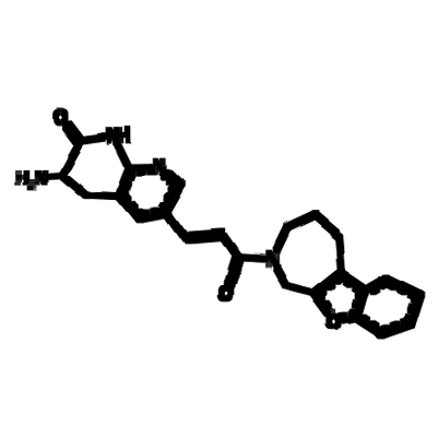 NC1Cc2cc(/C=C/C(=O)N3CCCc4c(oc5ccccc45)C3)cnc2NC1=O